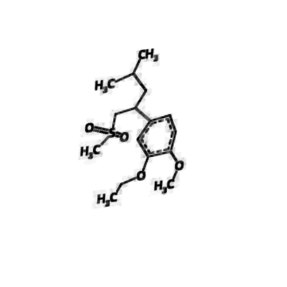 CCOc1cc(C(CC(C)C)CS(C)(=O)=O)ccc1OC